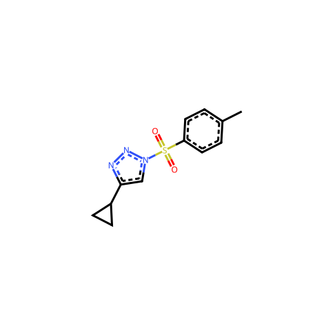 Cc1ccc(S(=O)(=O)n2cc(C3CC3)nn2)cc1